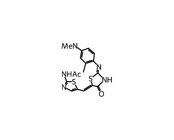 CNc1ccc(N=C2NC(=O)C(=Cc3cnc(NC(C)=O)s3)S2)c(C)c1